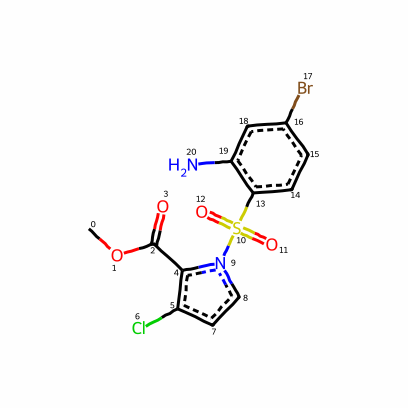 COC(=O)c1c(Cl)ccn1S(=O)(=O)c1ccc(Br)cc1N